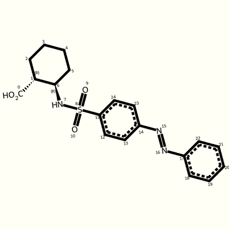 O=C(O)[C@@H]1CCCC[C@H]1NS(=O)(=O)c1ccc(N=Nc2ccccc2)cc1